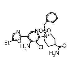 CCc1cnc(-c2cnc([N+]3(S(=O)(=O)Cc4ccccc4)CCC(C(N)=O)CC3)c(Cl)c2N)o1